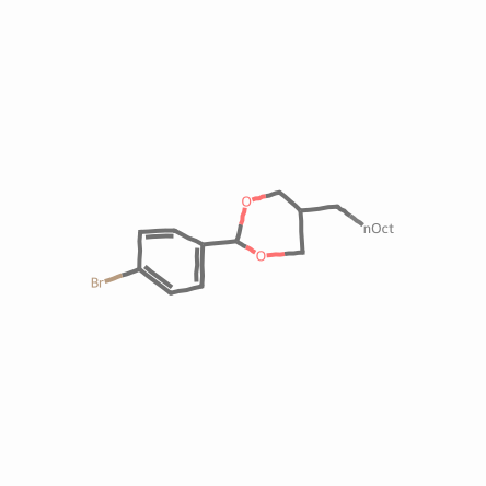 CCCCCCCCCC1COC(c2ccc(Br)cc2)OC1